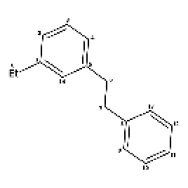 [CH2]Cc1cccc(CCc2ccccc2)c1